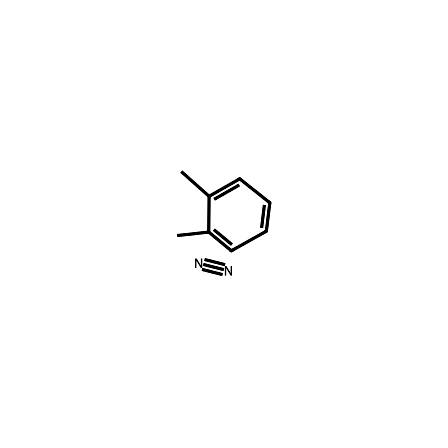 Cc1ccccc1C.N#N